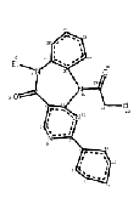 CCN1C(=O)c2cnc(-c3ccccc3)nc2N(C(=O)CCl)c2ccccc21